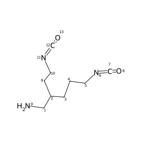 NCC(CCCN=C=O)CCN=C=O